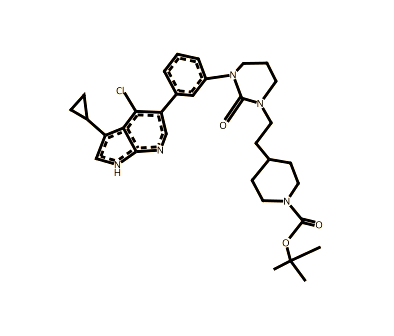 CC(C)(C)OC(=O)N1CCC(CCN2CCCN(c3cccc(-c4cnc5[nH]cc(C6CC6)c5c4Cl)c3)C2=O)CC1